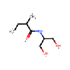 CCC(C)C(=O)NC(CO)CO